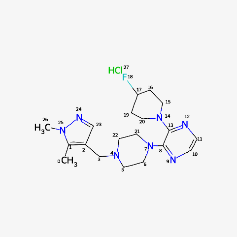 Cc1c(CN2CCN(c3nccnc3N3CCC(F)CC3)CC2)cnn1C.Cl